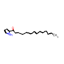 CCCCCCCCCCCCCC(=O)c1ccc[nH]1